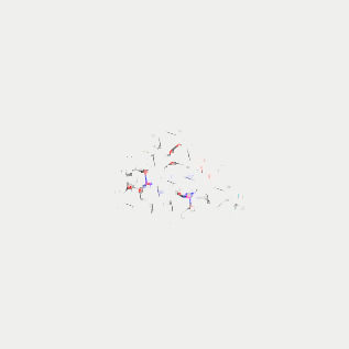 C=C(/C(=C(/C(=C(C)/C(=C(C(=O)OC)\C(=N\C)c1ccc(C(F)(F)F)cc1)c1ccccc1)c1cc2ccccc2c2c1C1=C(CS2)C(C)CC=C1)N(C)C)c1ccccc1)c1ccccc1